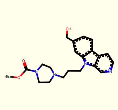 CC(C)(C)OC(=O)N1CCN(CCCn2c3cnccc3c3ccc(CO)cc32)CC1